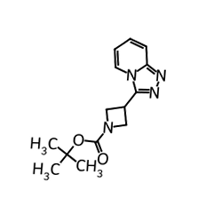 CC(C)(C)OC(=O)N1CC(c2nnc3ccccn23)C1